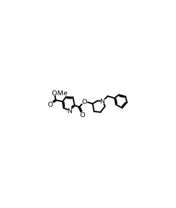 COC(=O)c1ccc(C(=O)OC2CCCN(Cc3ccccc3)C2)nc1